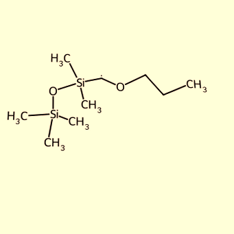 CCCO[CH][Si](C)(C)O[Si](C)(C)C